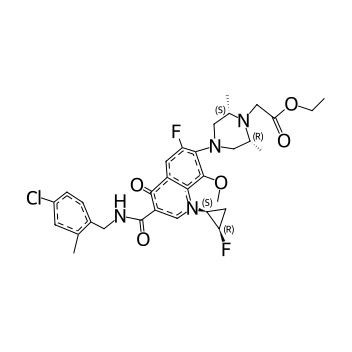 CCOC(=O)CN1[C@H](C)CN(c2c(F)cc3c(=O)c(C(=O)NCc4ccc(Cl)cc4C)cn([C@H]4C[C@H]4F)c3c2OC)C[C@@H]1C